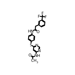 CC(=O)Nc1cc(Sc2ccc(NC(=O)Cc3cccc(C(F)(F)F)c3)cc2)ncn1